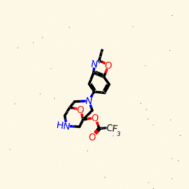 Cc1nc2cc(N3CC4CNCC(OC(=O)C(F)(F)F)(C3)O4)ccc2o1